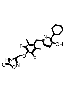 Cc1c(F)c(OCc2noc(=O)[nH]2)c(F)c(C)c1Cc1ccc(O)c(C2CCCCC2)n1